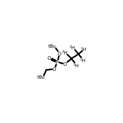 [1H]C([2H])([2H])C([3H])([3H])OP(=O)(OCC(C)(C)C)OC(C)(C)C